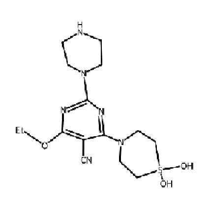 CCOc1nc(N2CCNCC2)nc(N2CCS(O)(O)CC2)c1C#N